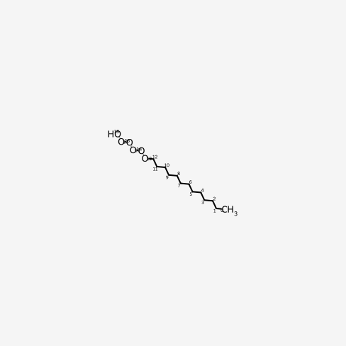 CCCCCCCCCCCCCOOOOOO